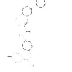 COc1ccc(-c2ccc3c(c2)C=C(C(=O)Nc2ccc(CN(C)C4CCC(=O)CC4)cc2)CCS3)cc1